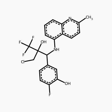 Cc1ccc2c(NC(c3ccc(F)c(O)c3)C(O)(CCl)C(F)(F)F)cccc2n1